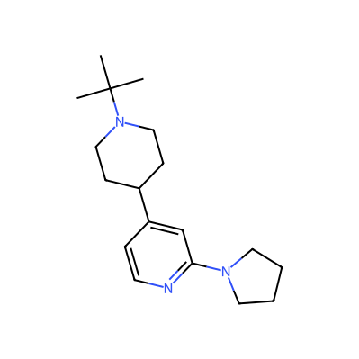 CC(C)(C)N1CCC(c2ccnc(N3CCCC3)c2)CC1